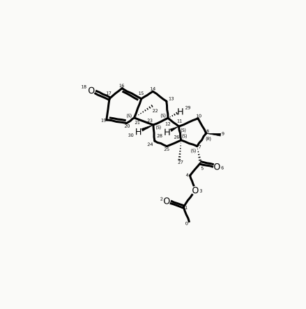 CC(=O)OCC(=O)[C@H]1[C@H](C)C[C@H]2[C@@H]3CCC4=CC(=O)C=C[C@]4(C)[C@H]3CC[C@@]21C